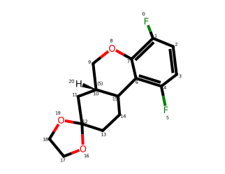 Fc1ccc(F)c2c1OC[C@H]1CC3(CCC21)OCCO3